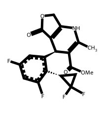 COC(=O)C1=C(C)NC2=C(C(=O)OC2)[C@@H]1c1cc(F)cc(F)c1[C@@H]1CC1(F)F